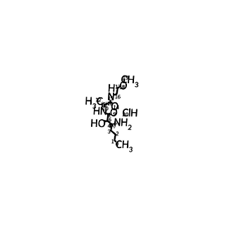 CCCC[C@@H](N)C(O)C(=O)N[C@@H](C)C(=O)NCCOC.Cl